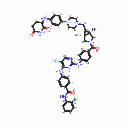 O=C1CCC(Nc2ccc(N3CCN(CC4[C@H]5CN(C(=O)c6ccc(Nc7ncc(F)c(Nc8ccc(C(=O)Nc9ccccc9Cl)cc8)n7)cc6)C[C@@H]45)CC3)cc2)C(=O)N1